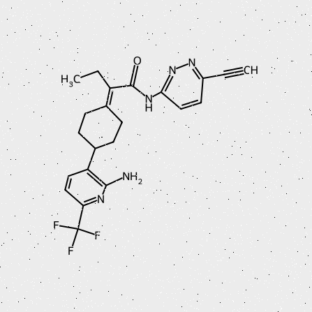 C#Cc1ccc(NC(=O)C(CC)=C2CCC(c3ccc(C(F)(F)F)nc3N)CC2)nn1